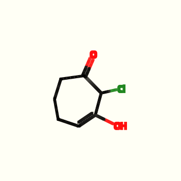 O=C1CCCC=C(O)C1Cl